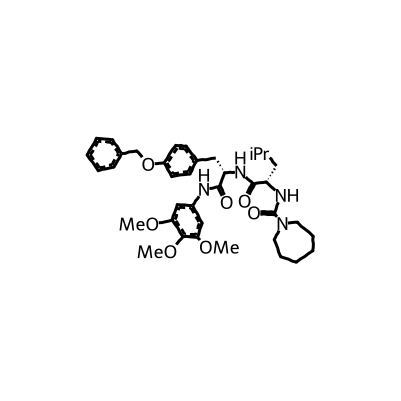 COc1cc(NC(=O)[C@H](Cc2ccc(OCc3ccccc3)cc2)NC(=O)[C@H](CC(C)C)NC(=O)N2CCCCCC2)cc(OC)c1OC